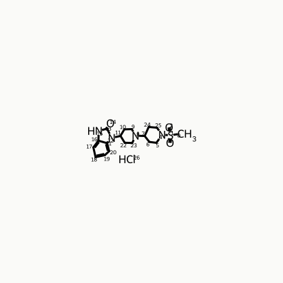 CS(=O)(=O)N1CCC(N2CCC(n3c(=O)[nH]c4ccccc43)CC2)CC1.Cl